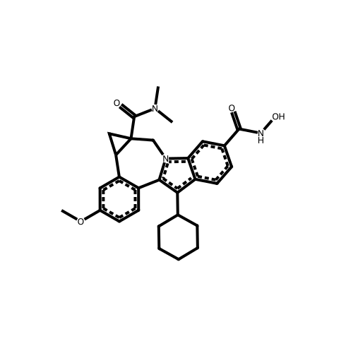 COc1ccc2c(c1)C1CC1(C(=O)N(C)C)Cn1c-2c(C2CCCCC2)c2ccc(C(=O)NO)cc21